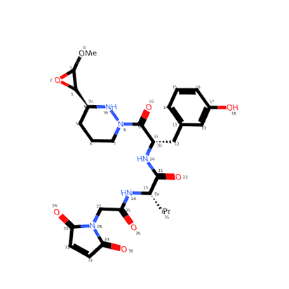 COC1OC1[C@@H]1CCCN(C(=O)[C@H](Cc2cccc(O)c2)NC(=O)[C@@H](NC(=O)CN2C(=O)C=CC2=O)C(C)C)N1